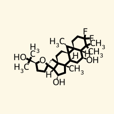 C[C@H]1[C@@]23CC[C@]45C[C@@]6(CC[C@@H](C(C)(C)O)O6)[C@H]4[C@@H](O)C[C@@]5(C)[C@@H]2C[C@H](O)[C@H]2C(C)(C)C(F)(F)CC[C@@]123